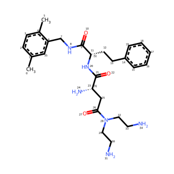 Cc1ccc(C)c(CNC(=O)[C@H](CCc2ccccc2)NC(=O)[C@@H](N)CC(=O)N(CCN)CCN)c1